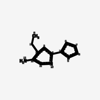 CCc1cc(-c2cccs2)ncc1N